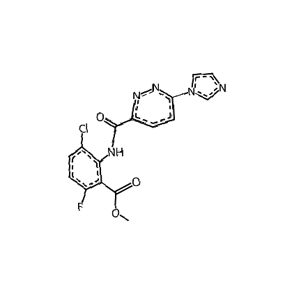 COC(=O)c1c(F)ccc(Cl)c1NC(=O)c1ccc(-n2ccnc2)nn1